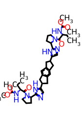 COC(=O)NC(C(=O)N1CCCC1c1ncc(C2Cc3cc4c(cc3C2)CC(c2cnc(C3CCCN3C(=O)[C@@H](NC(=O)OC)C(C)C)[nH]2)C4)[nH]1)C(C)C